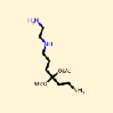 COC(CC[SiH3])(CCCNCCN)OC